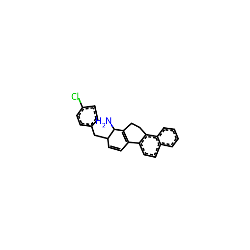 NC1C2=C(C=CC1Cc1ccc(Cl)cc1)c1ccc3ccccc3c1CC2